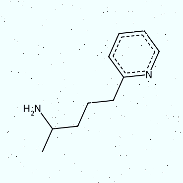 CC(N)CCCc1ccccn1